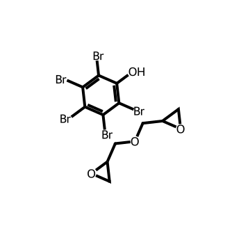 C(OCC1CO1)C1CO1.Oc1c(Br)c(Br)c(Br)c(Br)c1Br